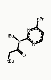 CCCc1ccnc(N(C(=O)CC(C)(C)C)C(C)CC)n1